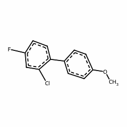 COc1ccc(-c2ccc(F)cc2Cl)cc1